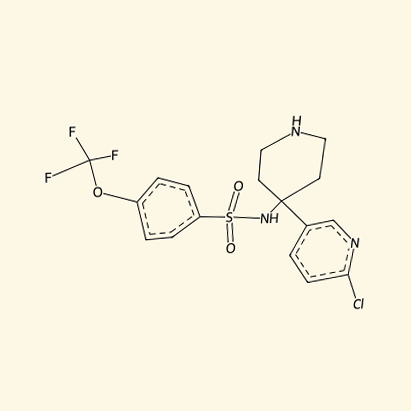 O=S(=O)(NC1(c2ccc(Cl)nc2)CCNCC1)c1ccc(OC(F)(F)F)cc1